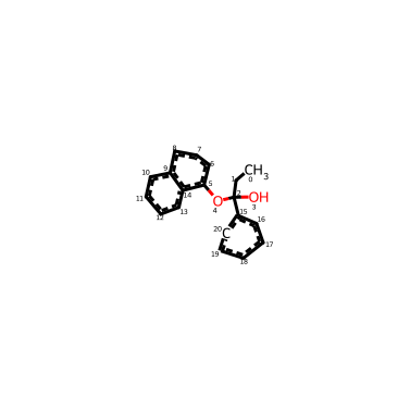 CCC(O)(Oc1cccc2ccccc12)c1ccccc1